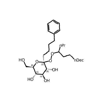 CCCCCCCCCCCCC(CCC)OO[C@]1(CCCCc2ccccc2)O[C@H](CO)[C@@H](O)[C@H](O)[C@H]1O